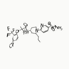 CCCC1CC(NC(=O)C(C)(C)Oc2ccc(Cl)cc2C(F)(F)F)CCN1c1ccc(S(N)(=O)=O)cn1